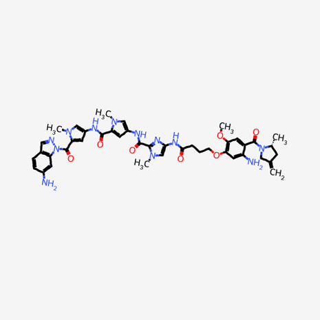 C=C1C[C@@H](C)N(C(=O)c2cc(OC)c(OCCCC(=O)Nc3cn(C)c(C(=O)Nc4cc(C(=O)Nc5cc(C(=O)n6ncc7ccc(N)cc76)n(C)c5)n(C)c4)n3)cc2N)C1